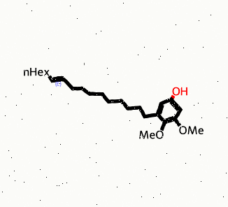 CCCCCC/C=C/CCCCCCCCCc1cc(O)cc(OC)c1OC